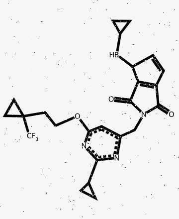 O=C1C2=C(C(=O)N1Cc1cc(OCCC3(C(F)(F)F)CC3)nc(C3CC3)n1)C(BC1CC1)C=C2